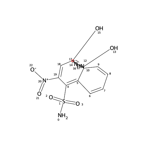 NS(=O)(=O)C1=C2C=CC=CC23NC(O)=C(O)N=C3C=C1[N+](=O)[O-]